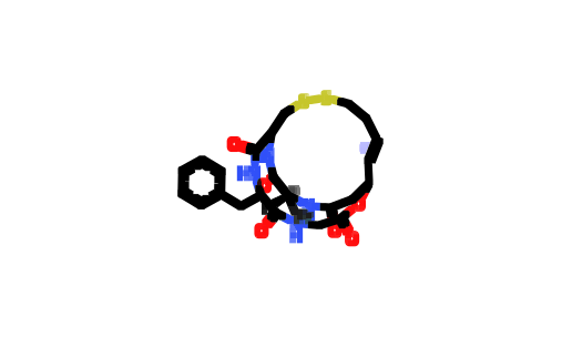 CC(C)[C@H]1NC(=O)CC2/C=C/CCSSCC(NC1=O)C(=O)NC(Cc1ccccc1)C(=O)NCC(=O)O2